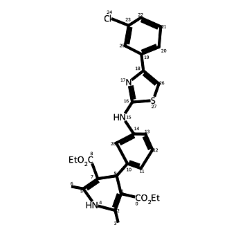 CCOC(=O)C1=C(C)NC(C)=C(C(=O)OCC)C1c1cccc(Nc2nc(-c3cccc(Cl)c3)cs2)c1